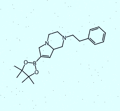 CC1(C)OB(C2=CC3CN(CCc4ccccc4)CCN3C2)OC1(C)C